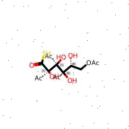 CC(=O)OC[C@@H](O)[C@](O)(C(C)=O)[C@@](O)(C(C)=O)[C@](O)(C(C)=O)C(=O)S